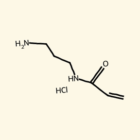 C=CC(=O)NCCCN.Cl